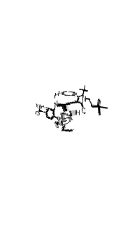 CCO[P@]1(=O)NC(C2=C(O)C(C(C)(C)C)N(CCC(C)(C)C)C2=O)=Nc2cc(C(N)=O)ccc21